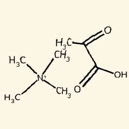 CC(=O)C(=O)O.C[N+](C)(C)C